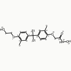 CCC(CC)(c1ccc(OCCO)c(C)c1)c1ccc(OCC(=O)NO)c(C)c1